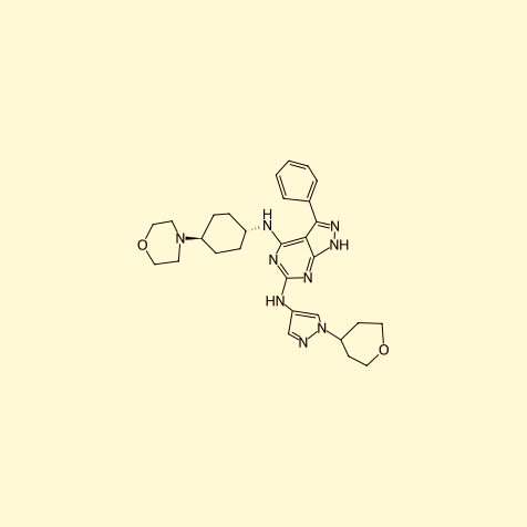 c1ccc(-c2n[nH]c3nc(Nc4cnn(C5CCOCC5)c4)nc(N[C@H]4CC[C@H](N5CCOCC5)CC4)c23)cc1